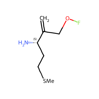 C=C(COF)[C@@H](N)CCSC